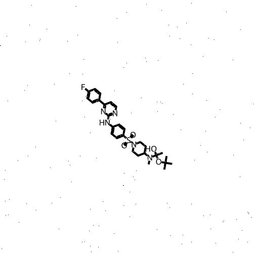 CN(C1CCN(S(=O)(=O)c2ccc(Nc3nccc(-c4ccc(F)cc4)n3)cc2)CC1)C(C)(O)OC(C)(C)C